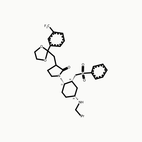 CC(C)CN[C@@H]1CC[C@H](N2CCC(CC3(c4cccc(C(F)(F)F)c4)OCCO3)C2=O)[C@H](CS(=O)(=O)c2ccccc2)C1